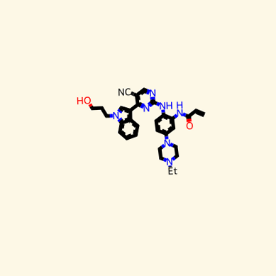 C=CC(=O)Nc1cc(N2CCN(CC)CC2)ccc1Nc1ncc(C#N)c(-c2cn(CCCO)c3ccccc23)n1